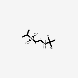 CC(C)S(=O)(=O)CCNC(C)(C)C